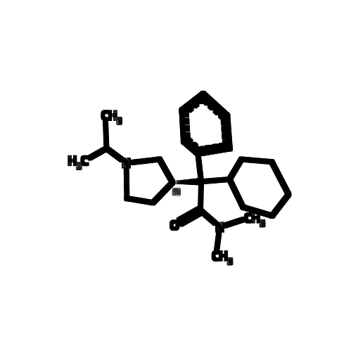 CC(C)N1CC[C@@H](C(C(=O)N(C)C)(c2ccccc2)C2CCCCC2)C1